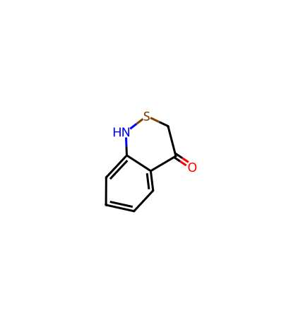 O=C1CSNc2ccccc21